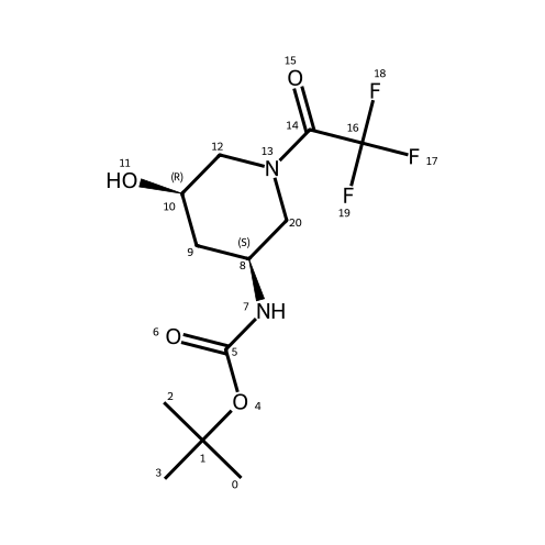 CC(C)(C)OC(=O)N[C@H]1C[C@@H](O)CN(C(=O)C(F)(F)F)C1